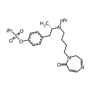 CCCN(CCCCN1CC=NC=CC1=O)[C@@H](C)Cc1ccc(OS(=O)(=O)C(C)C)cc1